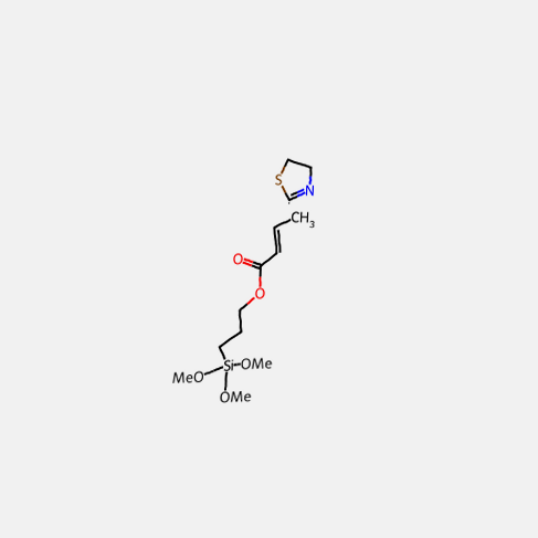 CC=CC(=O)OCCC[Si](OC)(OC)OC.[C]1=NCCS1